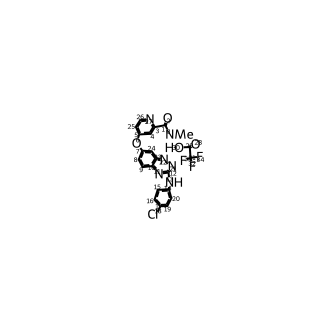 CNC(=O)c1cc(Oc2ccc3nc(Nc4ccc(Cl)cc4)nnc3c2)ccn1.O=C(O)C(F)(F)F